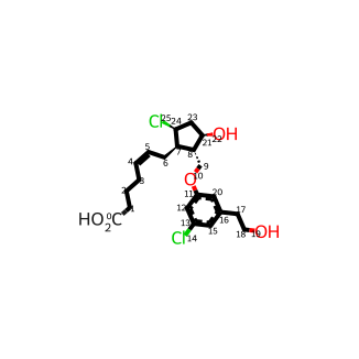 O=C(O)CCC/C=C\C[C@@H]1[C@@H](COc2cc(Cl)cc(CCO)c2)[C@H](O)C[C@@H]1Cl